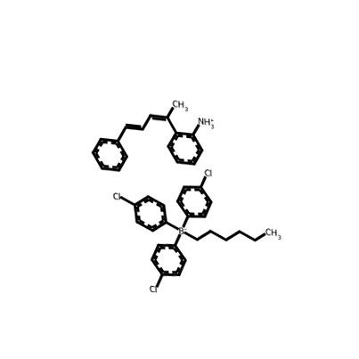 C/C(=C/C=C/c1ccccc1)c1ccccc1[NH3+].CCCCCC[B-](c1ccc(Cl)cc1)(c1ccc(Cl)cc1)c1ccc(Cl)cc1